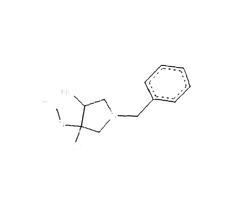 CNC1(C)CN(Cc2ccccc2)CC1O